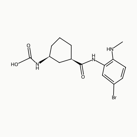 CNc1ccc(Br)cc1NC(=O)[C@@H]1CCC[C@H](NC(=O)O)C1